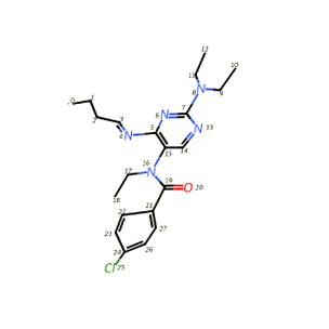 [CH2]CCC=Nc1nc(N(CC)CC)ncc1N(CC)C(=O)c1ccc(Cl)cc1